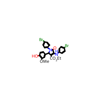 CCOC(=O)C1=C(Nc2ccc(Br)cc2)C(=O)N(c2ccc(Br)cc2)C1c1ccc(O)c(OC)c1